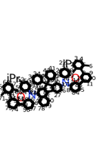 Cc1cccc(C)c1-c1cccc2c1oc1c(N(c3ccc(C(C)C)cc3)c3ccc4c(c3)C(c3ccccc3)(c3ccccc3)c3cc(N(c5ccc(C(C)C)cc5)c5cccc6c5oc5c(-c7c(C)cccc7C)cccc56)c5ccccc5c3-4)cccc12